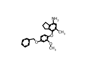 COc1[c]c(OCc2ccccc2)ccc1Oc1c(C)cc(N)c2c1CCC2